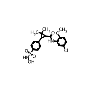 COc1ccc(Cl)cc1NC(=O)C1C(c2ccc(S(=O)(=O)NO)cc2)C1(C)C